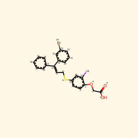 O=C(O)COc1ccc(SC/C=C(/c2ccccc2)c2cccc(Br)c2)cc1I